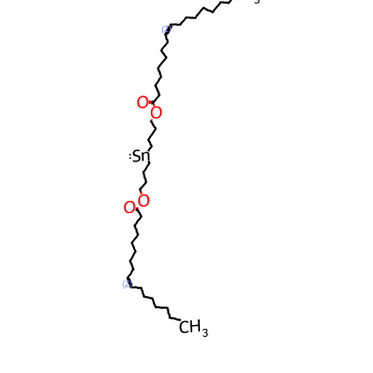 CCCCCCCC/C=C\CCCCCCCC(=O)OCCC[CH2][Sn][CH2]CCCOC(=O)CCCCCCC/C=C\CCCCCCCC